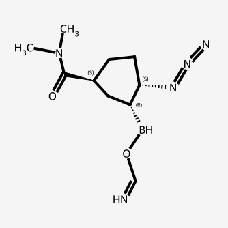 CN(C)C(=O)[C@H]1CC[C@H](N=[N+]=[N-])[C@H](BOC=N)C1